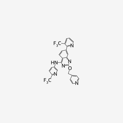 FC(F)(F)c1ccc(Nc2nc(OCc3ccncc3)nc3cc(-c4ncccc4C(F)(F)F)ccc23)cn1